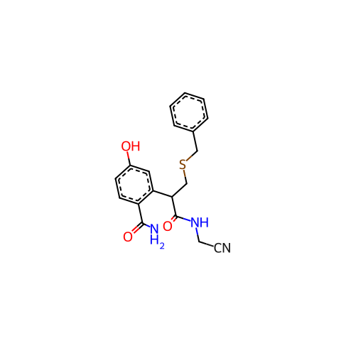 N#CCNC(=O)C(CSCc1ccccc1)c1cc(O)ccc1C(N)=O